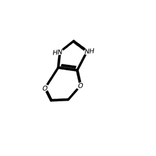 C1NC2=C(N1)OCCO2